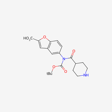 CC(C)(C)OC(=O)N(C(=O)C1CCNCC1)c1ccc2oc(C(=O)O)cc2c1